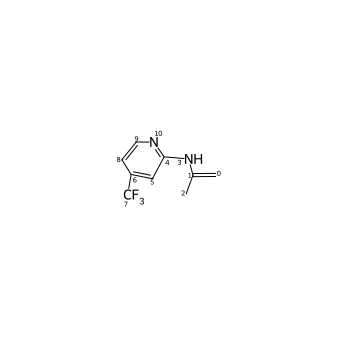 C=C(C)Nc1cc(C(F)(F)F)ccn1